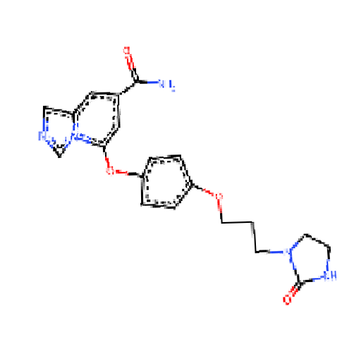 NC(=O)c1cc(Oc2ccc(OCCCN3CCNC3=O)cc2)n2cncc2c1